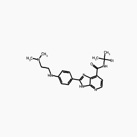 CCC(C)(C)NC(=O)c1ccnc2[nH]c(-c3ccc(NCCN(C)C)cc3)nc12